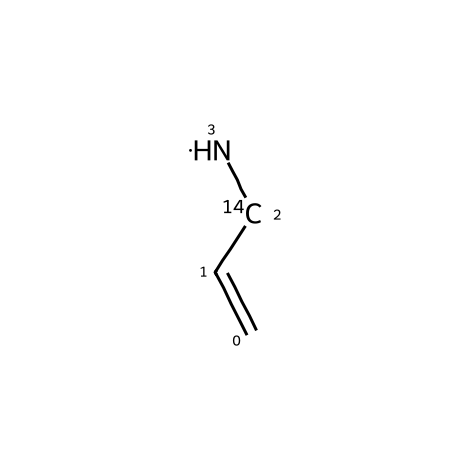 C=C[14CH2][NH]